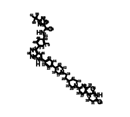 Cc1cc(-c2ncnc3[nH]c(-c4ccc(C5CCN(CCC6CCN(c7ccc(N8CCC(=O)NC8=O)c(C)n7)CC6)CC5)cc4)cc23)ccc1CNC(=O)c1nc(C(C)(C)C)no1